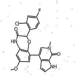 COc1cc2c(c(-c3cn(C)c(=O)c4[nH]ccc34)c1)OC(c1ccc(F)cc1Cl)C(=O)N2